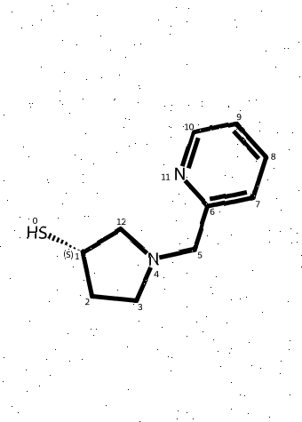 S[C@H]1CCN(Cc2ccccn2)C1